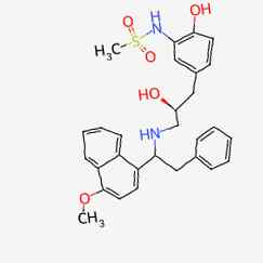 COc1ccc(C(Cc2ccccc2)NC[C@@H](O)Cc2ccc(O)c(NS(C)(=O)=O)c2)c2ccccc12